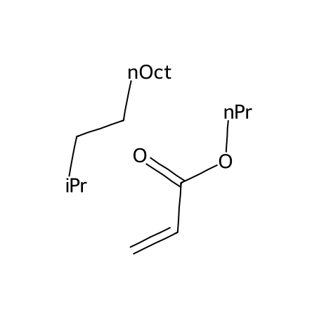 C=CC(=O)OCCC.[CH2]CCCCCCCCCC(C)C